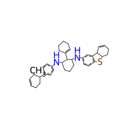 CC1C=CCCC1c1ccc(NC2CCCC(Nc3ccc4c(c3)C3C=CCCC3S4)C2C2=CCCCC2)cc1